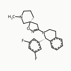 CN1CCC[C@@]2(CC(N3CCc4ccccc4[C@@H]3c3cc(F)cc(F)c3)=NO2)C1